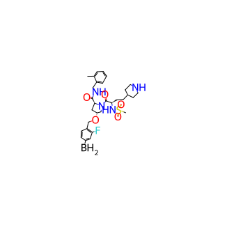 Bc1ccc(CO[C@@H]2C[C@@H](C(=O)NCc3ccccc3C)N(C(=O)[C@@H](CCC3CCNCC3)NS(C)(=O)=O)C2)c(F)c1